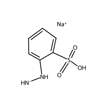 [NH-]Nc1ccccc1S(=O)(=O)O.[Na+]